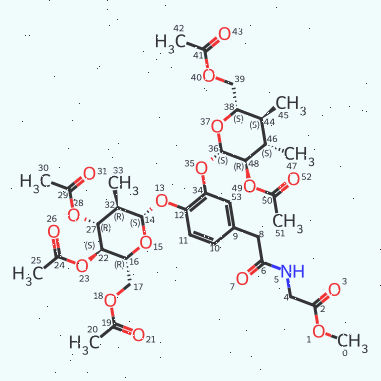 COC(=O)CNC(=O)Cc1ccc(O[C@@H]2O[C@H](COC(C)=O)[C@@H](OC(C)=O)[C@H](OC(C)=O)[C@H]2C)c(O[C@@H]2O[C@H](COC(C)=O)[C@@H](C)[C@H](C)[C@H]2OC(C)=O)c1